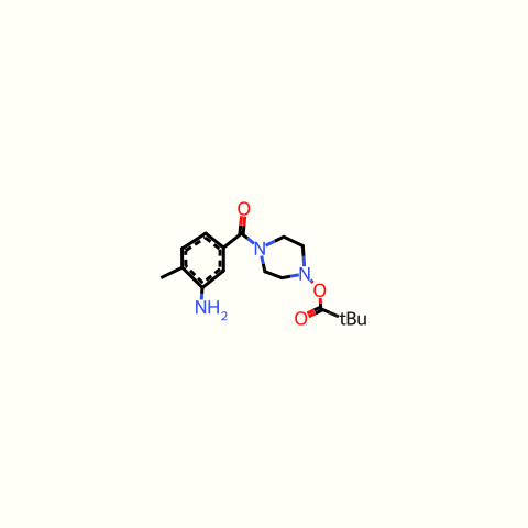 Cc1ccc(C(=O)N2CCN(OC(=O)C(C)(C)C)CC2)cc1N